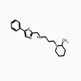 CC1CCCCN1CCCNCc1ncc(-c2ccccc2)s1